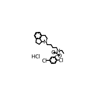 CCN(CCCCN1CCc2cccc3c2C1CC3)S(=O)(=O)c1cc(Cl)ccc1Cl.Cl